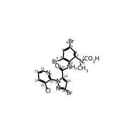 CN(C(=O)O)c1cc(Br)cc(Br)c1NC(=O)c1cc(Br)nn1-c1ncccc1Cl